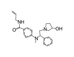 C=CCNC(=O)c1ccc(N(C)C(CN2CCC(O)C2)c2ccccc2)cc1